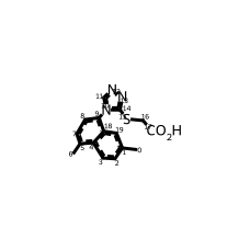 Cc1ccc2c(C)ccc(-n3cnnc3SCC(=O)O)c2c1